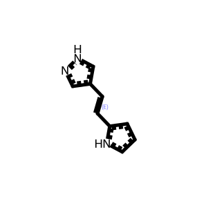 C(=C\c1ccc[nH]1)/c1cn[nH]c1